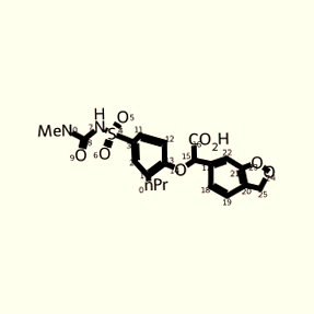 CCCc1cc(S(=O)(=O)NC(=O)NC)ccc1OC(C(=O)O)c1ccc2c(c1)OOC2